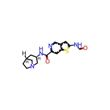 O=CNc1cc2cnc(C(=O)N[C@@H]3C[C@H]4CCN(C4)C3)cc2s1